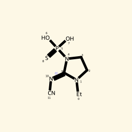 CCN1CCN(P(O)(O)=S)/C1=N/C#N